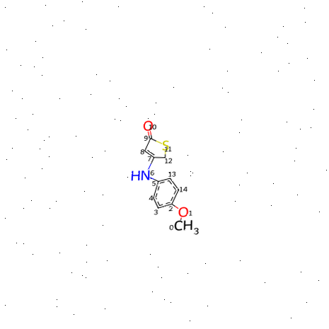 COc1ccc(NC2=CC(=O)SC2)cc1